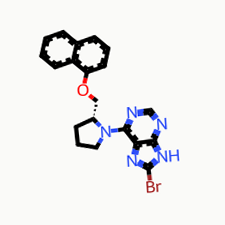 Brc1nc2c(N3CCC[C@@H]3COc3cccc4ccccc34)ncnc2[nH]1